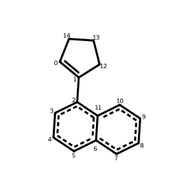 C1=C(c2cccc3ccccc23)CCC1